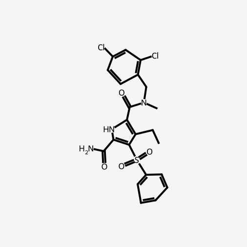 CCc1c(C(=O)N(C)Cc2ccc(Cl)cc2Cl)[nH]c(C(N)=O)c1S(=O)(=O)c1ccccc1